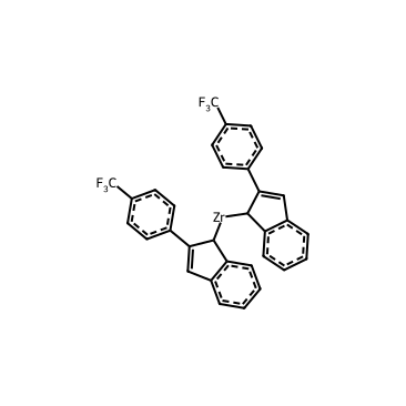 FC(F)(F)c1ccc(C2=Cc3ccccc3[CH]2[Zr][CH]2C(c3ccc(C(F)(F)F)cc3)=Cc3ccccc32)cc1